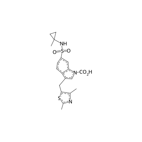 Cc1nc(C)c(Cc2cn(C(=O)O)c3cc(S(=O)(=O)NC4(C)CC4)ccc23)s1